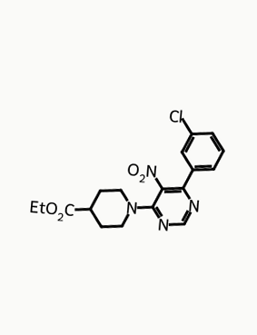 CCOC(=O)C1CCN(c2ncnc(-c3cccc(Cl)c3)c2[N+](=O)[O-])CC1